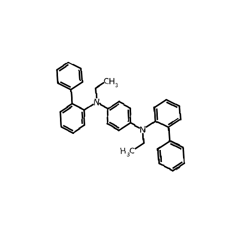 CCN(c1ccc(N(CC)c2ccccc2-c2ccccc2)cc1)c1ccccc1-c1ccccc1